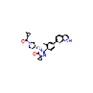 Cc1cc(C2=CC=C3C=CNC3C2)ccc1C1=NC2(CC2)C(=O)N1C[C@@H]1CCN(C(=O)C2CC2)C1